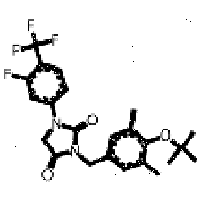 Cc1cc(CN2C(=O)CN(c3ccc(C(F)(F)F)c(F)c3)C2=O)cc(C)c1OC(C)(C)C